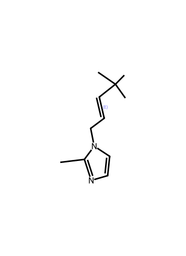 Cc1nccn1C/C=C/C(C)(C)C